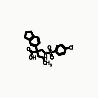 CCCC(CNS(=O)(=O)c1ccc(Cl)cc1)(C(=O)O)c1ccc2c(c1)CCC2